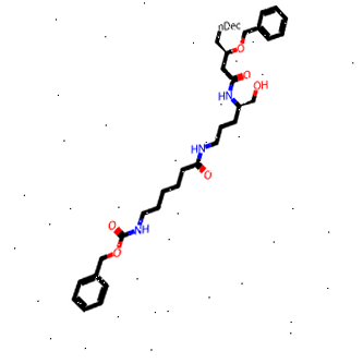 CCCCCCCCCCC[C@H](CC(=O)N[C@@H](CO)CCCNC(=O)CCCCCNC(=O)OCc1ccccc1)OCc1ccccc1